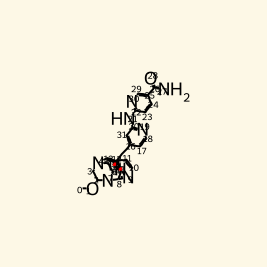 COC1CN2CCN1c1nccc3c2nc(-c2ccnc(Nc4ccc(C(N)=O)cn4)c2)nc13